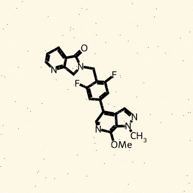 COc1ncc(-c2cc(F)c(CN3Cc4ncccc4C3=O)c(F)c2)c2cnn(C)c12